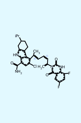 C=C(/C=C\C=C(/C)c1c(Cl)cc(C(N)=O)c2[nH]c3c(c12)CCC(C(C)C)C3)n1c(=O)[nH]c2c(F)cc(F)cc2c1=O